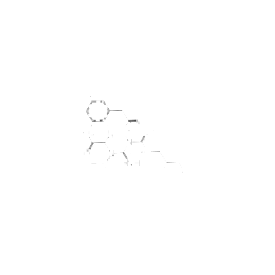 CCCCOC(=O)N(OC(=O)Cc1ccccc1)C(=N)N(C)C(C)C(=O)O